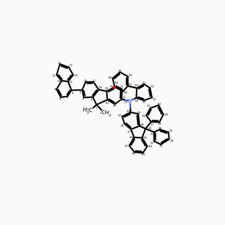 CC1(C)c2cc(-c3cccc4ccccc34)ccc2-c2ccc(N(c3ccc4c(c3)C(c3ccccc3)(c3ccccc3)c3ccccc3-4)c3ccccc3-c3ccccc3)cc21